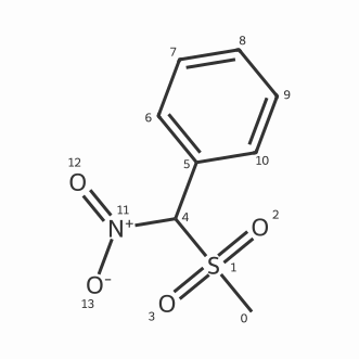 CS(=O)(=O)C(c1ccccc1)[N+](=O)[O-]